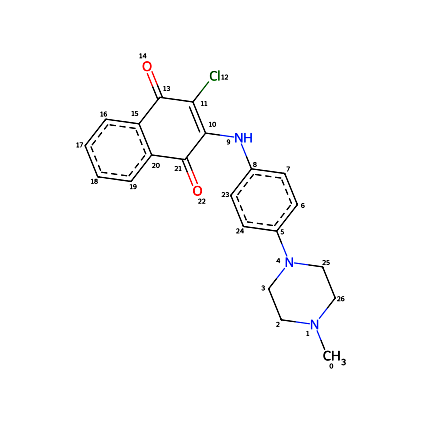 CN1CCN(c2ccc(NC3=C(Cl)C(=O)c4ccccc4C3=O)cc2)CC1